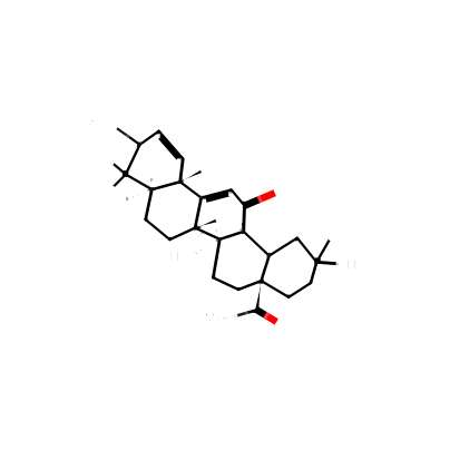 COC(=O)[C@]12CCC(C)(C)CC1C1C(=O)C=C3[C@@]4(C)C=CC(OC(C)=O)C(C)(C)[C@@H]4CC[C@@]3(C)[C@]1(C)CC2